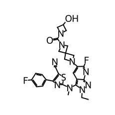 CCn1nc2nc(F)c(N3CC4(CN(C(=O)N5CC(O)C5)C4)C3)cc2c1N(C)c1nc(-c2ccc(F)cc2)c(C#N)s1